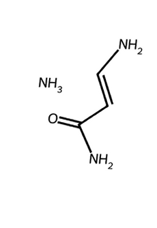 N.NC=CC(N)=O